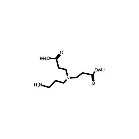 COC(=O)CCN(CCCN)CCC(=O)OC